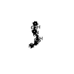 O=C(Nc1ccccc1)c1ccc2oc(CCNS(=O)(=O)c3ccc(-c4ccno4)s3)nc2c1